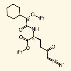 CC(C)OC(=O)[C@H](CCC(=O)C=[N+]=[N-])NC(=O)[C@@H](OC(C)C)C1CCCCC1